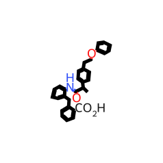 CC(C(=O)Nc1ccccc1Cc1ccccc1C(=O)O)c1ccc(CCOc2ccccc2)cc1